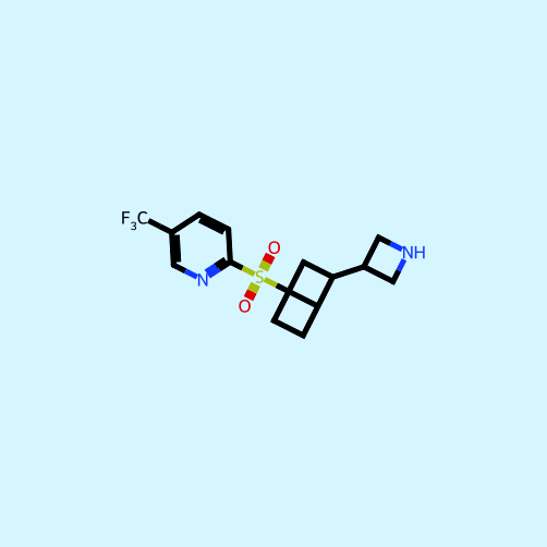 O=S(=O)(c1ccc(C(F)(F)F)cn1)C12CCC1C(C1CNC1)C2